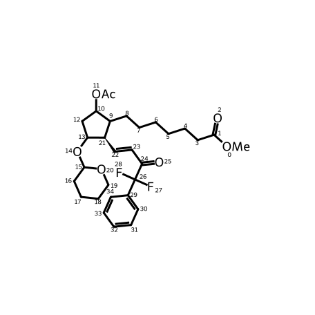 COC(=O)CCCCCCC1C(OC(C)=O)CC(OC2CCCCO2)[C@@H]1/C=C/C(=O)C(F)(F)c1ccccc1